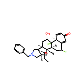 CCC(=O)[C@@]12CN(Cc3ccccc3)C[C@@H]1C[C@H]1[C@@H]3C[C@H](F)C4=CC(=O)C=C[C@]4(C)[C@@]3(F)[C@@H](O)C[C@@]12C